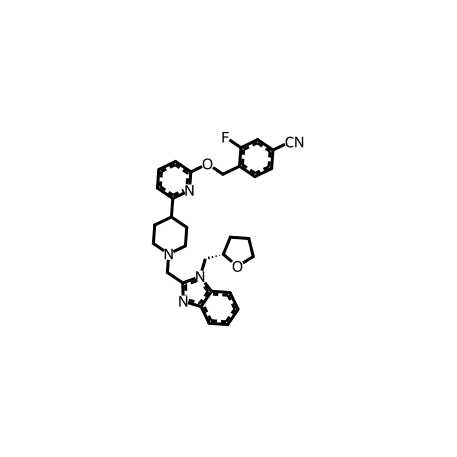 N#Cc1ccc(COc2cccc(C3CCN(Cc4nc5ccccc5n4C[C@@H]4CCCO4)CC3)n2)c(F)c1